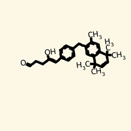 Cc1cc2c(cc1Cc1ccc(/C=C(\O)CCC=O)cc1)C(C)(C)C=CC2(C)C